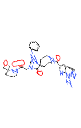 O=C(c1cnc2[nH]ncc2c1)N1CCC2(CC1)C(=O)N(CC(=O)N1CCCC13COC3)CN2c1ccccc1